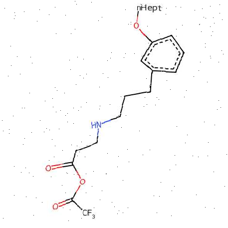 CCCCCCCOc1cccc(CCCNCCC(=O)OC(=O)C(F)(F)F)c1